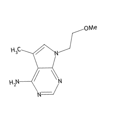 COCCn1cc(C)c2c(N)ncnc21